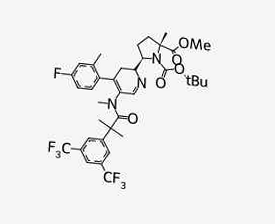 COC(=O)[C@@]1(C)CC[C@H](C2CC(c3ccc(F)cc3C)=C(N(C)C(=O)C(C)(C)c3cc(C(F)(F)F)cc(C(F)(F)F)c3)C=N2)N1C(=O)OC(C)(C)C